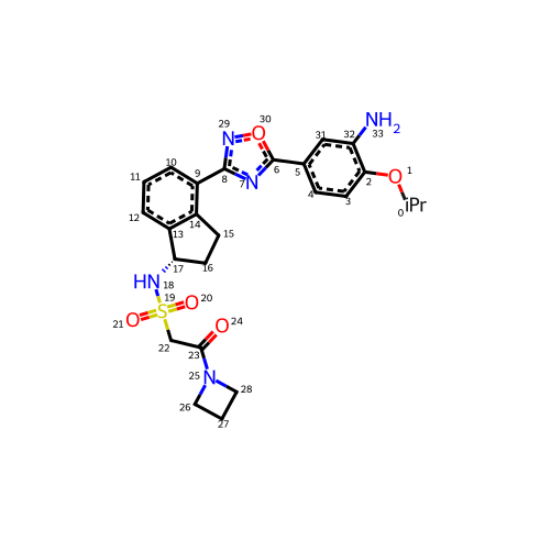 CC(C)Oc1ccc(-c2nc(-c3cccc4c3CC[C@@H]4NS(=O)(=O)CC(=O)N3CCC3)no2)cc1N